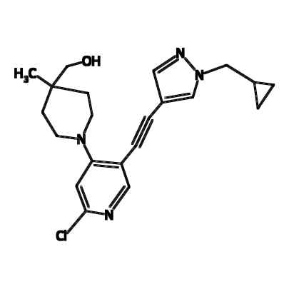 CC1(CO)CCN(c2cc(Cl)ncc2C#Cc2cnn(CC3CC3)c2)CC1